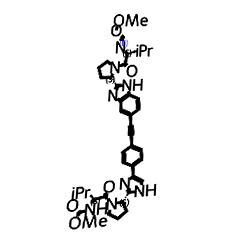 COO/C=N/[C@H](C(=O)N1CCC[C@H]1c1nc2cc(C#Cc3ccc(-c4c[nH]c([C@@H]5CCCN5C(=O)[C@@H](NC(=O)OC)C(C)C)n4)cc3)ccc2[nH]1)C(C)C